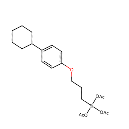 CC(=O)O[Si](CCCOc1ccc(C2CCCCC2)cc1)(OC(C)=O)OC(C)=O